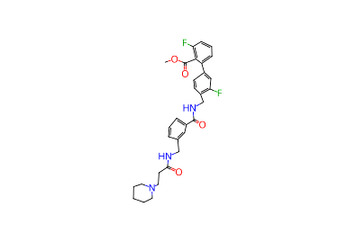 COC(=O)c1c(F)cccc1-c1ccc(CNC(=O)c2cccc(CNC(=O)CCN3CCCCC3)c2)c(F)c1